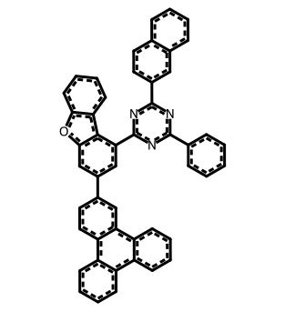 c1ccc(-c2nc(-c3ccc4ccccc4c3)nc(-c3cc(-c4ccc5c6ccccc6c6ccccc6c5c4)cc4oc5ccccc5c34)n2)cc1